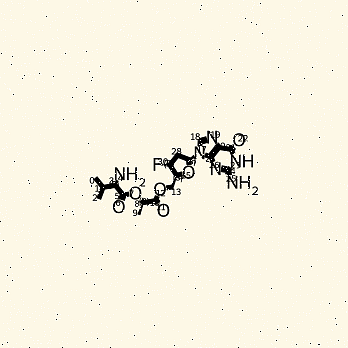 CC(C)[C@@H](N)C(=O)O[C@H](C)C(=O)OC[C@@H]1O[C@H](n2cnc3c(=O)[nH]c(N)nc32)C[C@H]1F